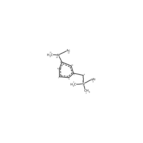 CCC[Si](C)(C)Cc1cccc(N(C)C(C)=O)c1